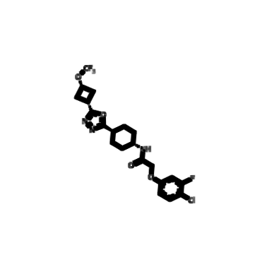 O=C(COc1ccc(Cl)c(F)c1)N[C@H]1CC[C@H](c2nnc([C@H]3C[C@@H](OC(F)(F)F)C3)o2)CC1